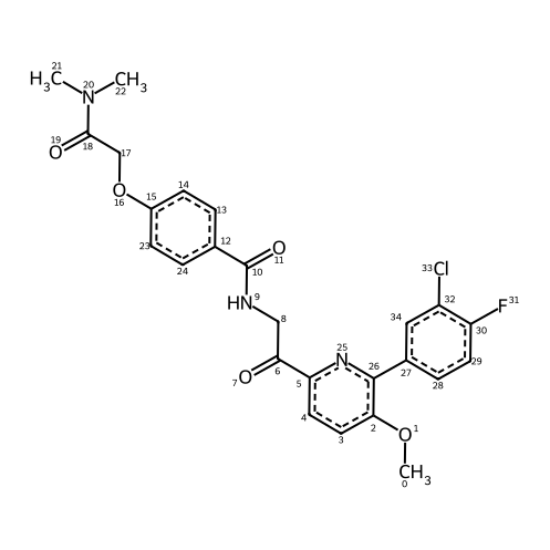 COc1ccc(C(=O)CNC(=O)c2ccc(OCC(=O)N(C)C)cc2)nc1-c1ccc(F)c(Cl)c1